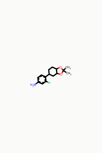 CC1(C)OC2CCC(c3ccc(N)cc3F)CC2O1